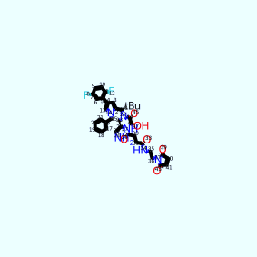 CC(C)(C)[C@H](c1cc(-c2cc(F)ccc2F)cn1Cc1ccccc1)N(C[C@H](CN)NC(=O)CCC(=O)NCCN1C(=O)C=CC1=O)C(=O)CO